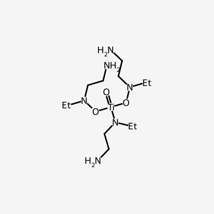 CCN(CCN)[O][Ti](=[O])([O]N(CC)CCN)[N](CC)CCN